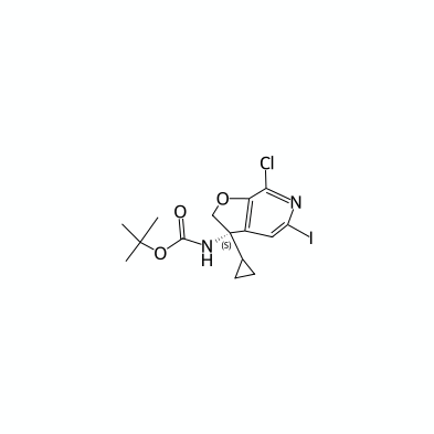 CC(C)(C)OC(=O)N[C@]1(C2CC2)COc2c1cc(I)nc2Cl